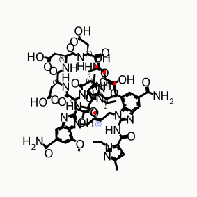 CCn1nc(C)cc1C(=O)Nc1nc2cc(C(N)=O)cc(OC)c2n1C/C=C/Cn1c(NC(=O)c2cc(C)nn2CC)nc2cc(C(N)=O)cc(OCCCNC(=O)[C@H](CC(=O)O)NC(=O)[C@H](CC(=O)O)NC(=O)[C@H](CC(=O)O)NC(=O)[C@H](CC(=O)O)NC(=O)[C@H](CC(=O)O)NC(=O)[C@@H](C)CC(=O)O)c21